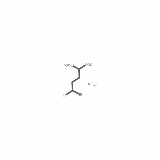 CCC(CC)CCC(C(=O)[O-])C(=O)[O-].[K+].[K+]